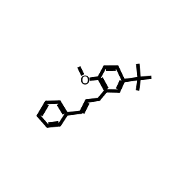 COc1ccc(C(C)(C)C)cc1CC=Cc1ccccc1